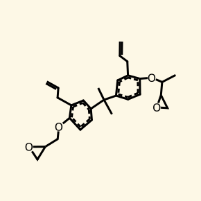 C=CCc1cc(C(C)(C)c2ccc(OC(C)C3CO3)c(CC=C)c2)ccc1OCC1CO1